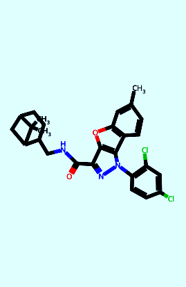 Cc1ccc2c(c1)oc1c(C(=O)NCC3CCC4CC3C4(C)C)nn(-c3ccc(Cl)cc3Cl)c12